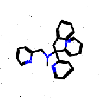 CN(Cc1ccccn1)C(Cc1ccccc1)(c1ccccn1)c1ccccn1